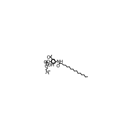 CCCCCCCCCCCCCCCC(=O)Nc1ccc(OP(=O)(O)OCC[N+](C)(C)C)c(C(C)=O)c1